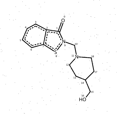 O=c1c2ccccc2sn1CN1CCC(CO)CC1